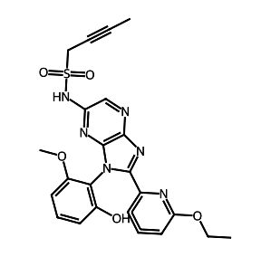 CC#CCS(=O)(=O)Nc1cnc2nc(C3=C=C=CC(OCC)=N3)n(-c3c(O)cccc3OC)c2n1